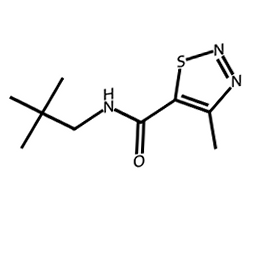 Cc1nnsc1C(=O)NCC(C)(C)C